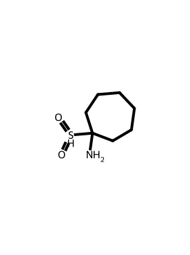 NC1([SH](=O)=O)CCCCCC1